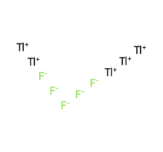 [F-].[F-].[F-].[F-].[F-].[Tl+].[Tl+].[Tl+].[Tl+].[Tl+]